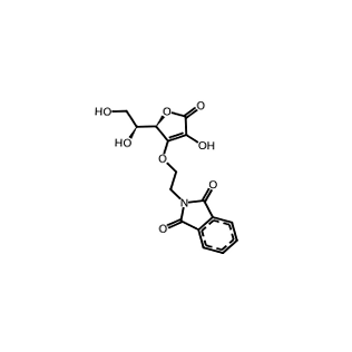 O=C1O[C@H]([C@@H](O)CO)C(OCCN2C(=O)c3ccccc3C2=O)=C1O